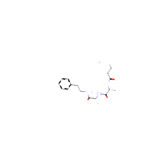 C[C@H](NC(=O)CCC(=O)O)C(=O)N[C@@H](C)C(=O)NCCc1ccccc1